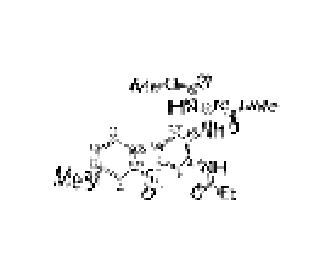 CCC(=O)Nc1cc([S+]([O-])c2cccc(SC)c2)ccc1NC(=NC(=O)OC)NC(=O)OC